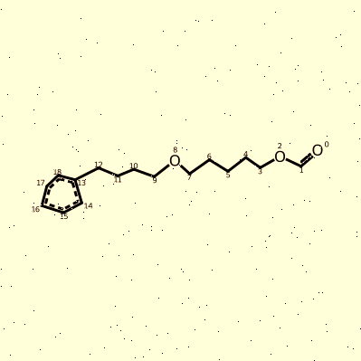 O=COCCCCCOCCCCc1ccccc1